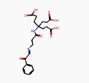 O=C(O)CCC(CCC(=O)O)(CCC(=O)O)NC(=O)CCN=CC(=O)c1ccccc1